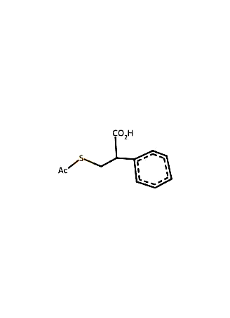 CC(=O)SCC(C(=O)O)c1ccccc1